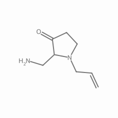 C=CCN1CCC(=O)C1CN